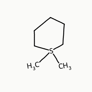 CS1(C)CCCCC1